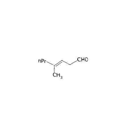 CCCC(C)=CCC=O